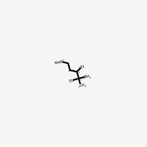 BC(C)(CC)C(CC)CCNC